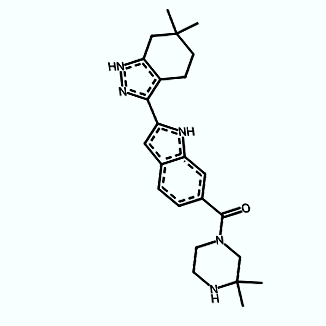 CC1(C)CCc2c(-c3cc4ccc(C(=O)N5CCNC(C)(C)C5)cc4[nH]3)n[nH]c2C1